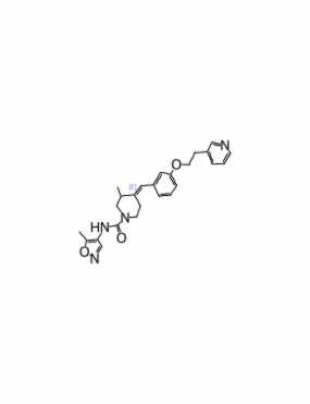 Cc1oncc1NC(=O)N1CC/C(=C\c2cccc(OCCc3cccnc3)c2)C(C)C1